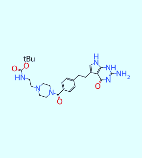 CC(C)(C)OC(=O)NCCN1CCN(C(=O)c2ccc(CCc3c[nH]c4[nH]c(N)nc(=O)c34)cc2)CC1